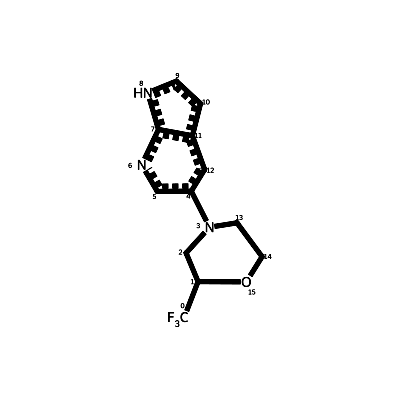 FC(F)(F)C1CN(c2cnc3[nH]ccc3c2)CCO1